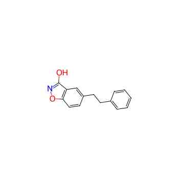 Oc1noc2ccc(CCc3ccccc3)cc12